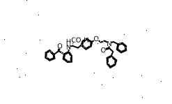 O=C(c1ccccc1)c1ccccc1N[C@@H](Cc1ccc(OCCN(Cc2ccccc2)C(=O)Cc2ccccc2)cc1)C(=O)O